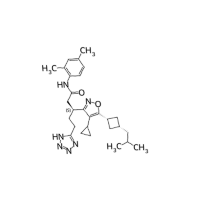 Cc1ccc(NC(=O)C[C@H](CCc2nnn[nH]2)c2noc([C@H]3C[C@@H](CC(C)C)C3)c2C2CC2)c(C)c1